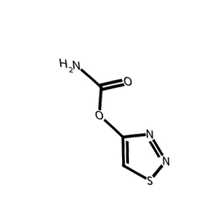 NC(=O)Oc1csnn1